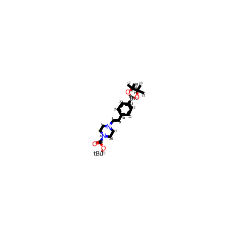 CC(C)(C)OC(=O)N1CCN(CCc2ccc(B3OC(C)(C)C(C)(C)O3)cc2)CC1